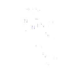 CC(=O)OC(CC(C(C)C)N(C)C(=O)CC1CCC1)c1nc(C(=O)N[C@@H](Cc2ncccn2)C[C@H](C)C(=O)O)cs1